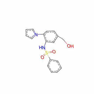 O=S(=O)(Nc1cc(CO)ccc1-n1cccc1)c1ccccc1